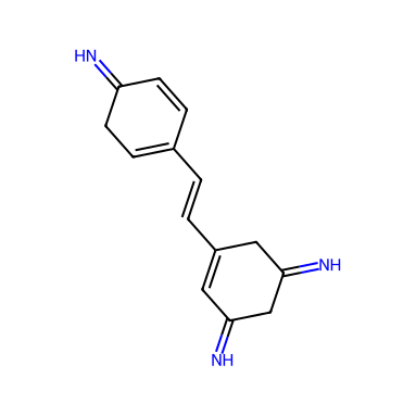 N=C1C=CC(C=CC2=CC(=N)CC(=N)C2)=CC1